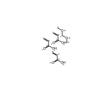 C=CC(=O)O.C=CC(=O)O.C=CC(=O)O.COCOC